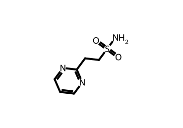 NS(=O)(=O)CCc1ncccn1